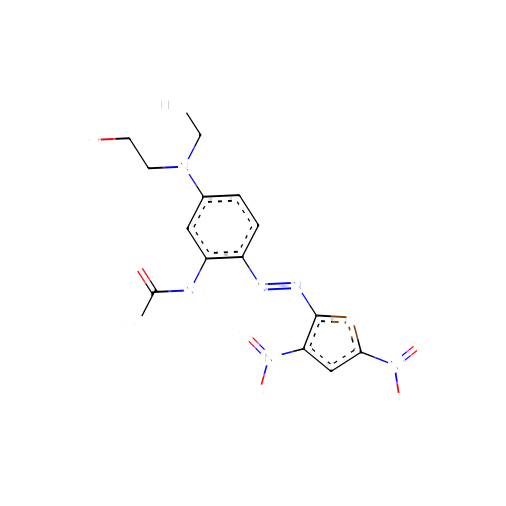 CCN(CCO)c1ccc(N=Nc2sc([N+](=O)[O-])cc2[N+](=O)[O-])c(NC(C)=O)c1